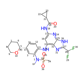 CN(c1cc([C@H]2CCCCO2)ccc1Nc1cc(NC(=O)C2CC2)nc2[nH]c(C(F)F)nc12)S(C)(=O)=O